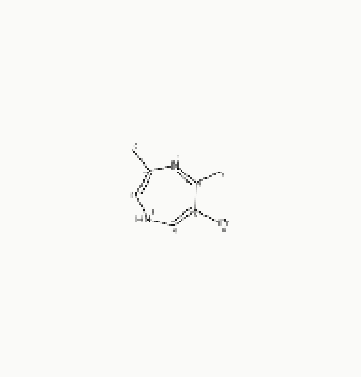 CC1=CNC=C(C(C)C)C(C)=N1